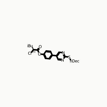 CCCCCCCCCCSc1ncc(-c2ccc(OC(=O)[C@@H](Cl)C(C)CC)cc2)cn1